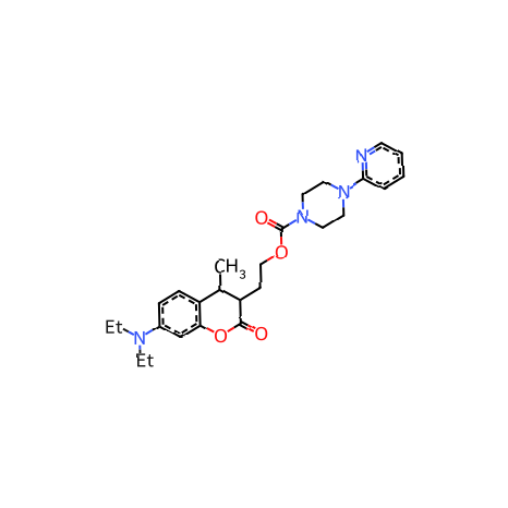 CCN(CC)c1ccc2c(c1)OC(=O)C(CCOC(=O)N1CCN(c3ccccn3)CC1)C2C